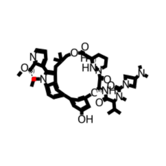 CCn1c(-c2cccnc2[C@H](C)OC)c2c3cc(ccc31)-c1cc(O)cc(c1)C[C@H](NC(=O)C(C(C)C)N(C)C(=O)N1CC(N(C)C)C1)C(=O)N1CCC[C@H](N1)C(=O)OCC(C)(C)C2